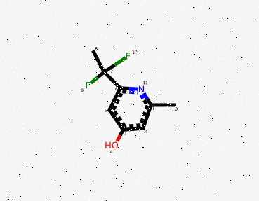 Cc1cc(O)cc(C(C)(F)F)n1